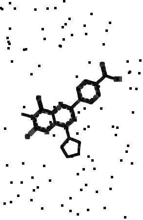 Cn1c(=O)nc2n(C3CCCC3)nc(-c3ccc(C(=O)O)cc3)nc-2c1=O